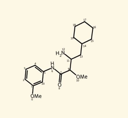 COc1cccc(NC(=O)C(OC)C(N)CC2CCCCC2)c1